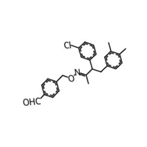 C/C(=N\OCc1ccc(C=O)cc1)C(Cc1ccc(C)c(C)c1)c1cccc(Cl)c1